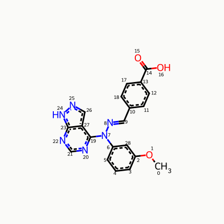 COc1cccc(N(N=Cc2ccc(C(=O)O)cc2)c2ncnc3[nH]ncc23)c1